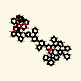 c1ccc(-c2ccccc2-c2cccc(-c3c(N(c4ccc(-c5ccc(-c6ccc(-c7cccc(-c8c(N(c9ccc(-c%10ccccc%10)c(-c%10ccccc%10)c9)c9cccc%10c9-c9ccccc9C%10(c9ccccc9)c9ccccc9)c9ccccc9c9ccccc89)c7)c7ccccc67)cc5-c5ccccc5)cc4)c4cccc5c4-c4ccccc4C5(c4ccccc4)c4ccccc4)c4ccccc4c4ccccc34)c2)cc1